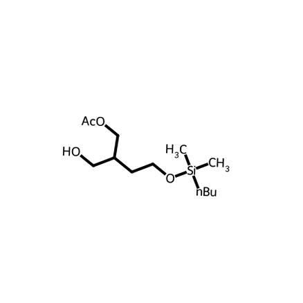 CCCC[Si](C)(C)OCCC(CO)COC(C)=O